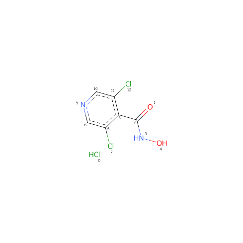 Cl.O=C(NO)c1c(Cl)cncc1Cl